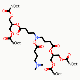 CCCCCCCCC(=O)OCC(COC(=O)CCCCCCCC)OC(=O)CCCN(CCCC(=O)OC(COC(=O)CCCCCCCC)COC(=O)CCCCCCCC)OC(=O)CCCN(C)C